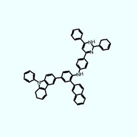 C1=CCCC(C2N=C(c3ccc(Nc4ccc(-c5ccc6c(c5)c5c(n6-c6ccccc6)CCC=C5)cc4-c4ccc5ccccc5c4)cc3)C=C(c3ccccc3)N2)=C1